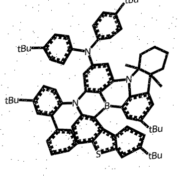 CC(C)(C)c1ccc(N(c2ccc(C(C)(C)C)cc2)c2cc3c4c(c2)N2c5c(cc(C(C)(C)C)cc5C5(C)CCCCC25C)B4c2c(ccc4sc5cc(C(C)(C)C)ccc5c24)N3c2ccc(C(C)(C)C)cc2-c2ccccc2)cc1